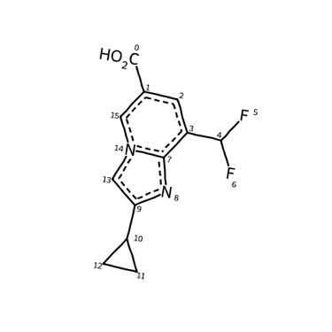 O=C(O)c1cc(C(F)F)c2nc(C3CC3)cn2c1